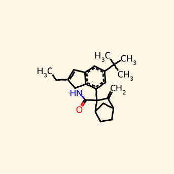 C=C1C2CCC(C2)C1(C([NH])=O)c1cc(C(C)(C)C)cc2c1CC(CC)=C2